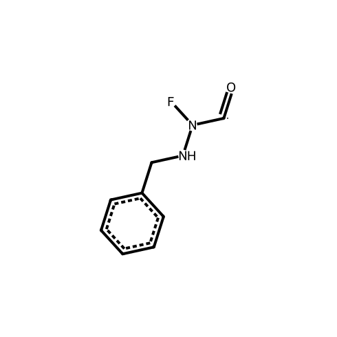 O=[C]N(F)NCc1ccccc1